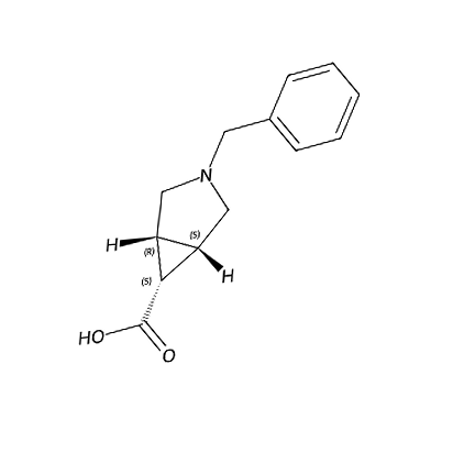 O=C(O)[C@@H]1[C@@H]2CN(Cc3ccccc3)C[C@@H]21